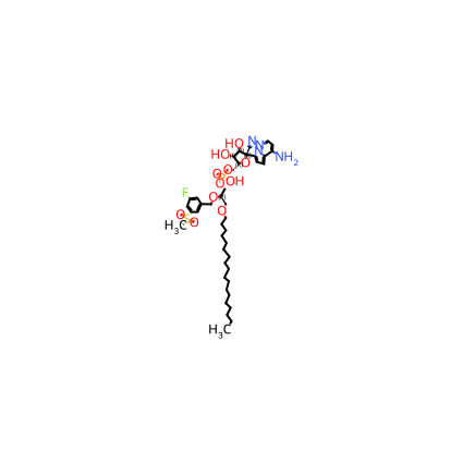 CCCCCCCCCCCCCCCCCCOC[C@H](COP(=O)(O)OC[C@H]1O[C@@](C#N)(c2ccc3c(N)ccnn23)[C@H](O)[C@@H]1O)OCc1cc(F)cc(S(C)(=O)=O)c1